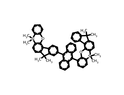 CC1(C)c2cc(-c3c4ccccc4c(-c4cccc5c4Oc4c(ccc6c4-c4ccccc4C6(C)C)[Si]5(C)C)c4ccccc34)ccc2-c2c1ccc1c2Oc2ccccc2[Si]1(C)C